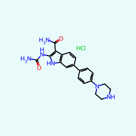 Cl.NC(=O)Nc1[nH]c2cc(-c3ccc(N4CCNCC4)cc3)ccc2c1C(N)=O